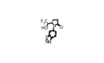 O=C1CC[C@H]([C@H](O)C(F)(F)F)N1c1ccc2nnsc2c1